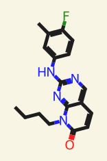 CCCCn1c(=O)ccc2cnc(Nc3ccc(F)c(C)c3)nc21